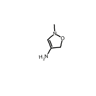 CN1C=C(N)CO1